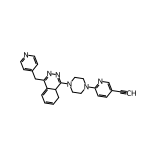 C#Cc1ccc(N2CCN(C3=NN=C(Cc4ccncc4)C4=CC=CCC43)CC2)nc1